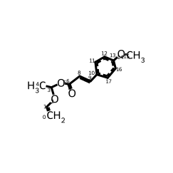 C=COC(C)OC(=O)C=Cc1ccc(OC)cc1